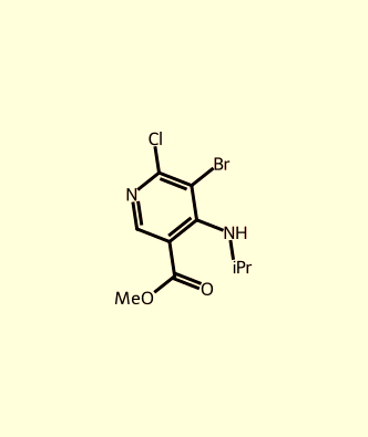 COC(=O)c1cnc(Cl)c(Br)c1NC(C)C